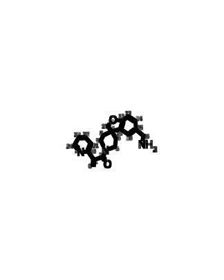 C=C(C(=O)N1CCC2(CC1)COc1ccc(CN)cc12)c1ccccn1